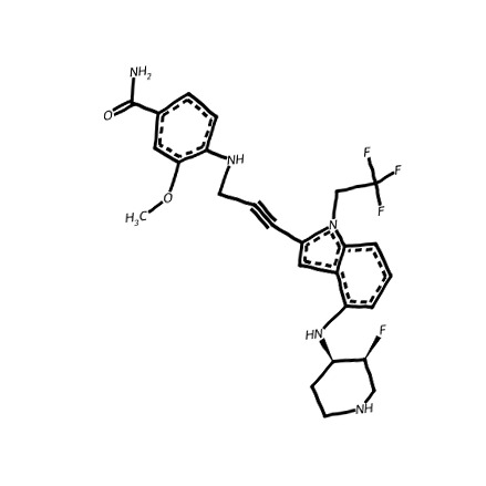 COc1cc(C(N)=O)ccc1NCC#Cc1cc2c(N[C@@H]3CCNC[C@@H]3F)cccc2n1CC(F)(F)F